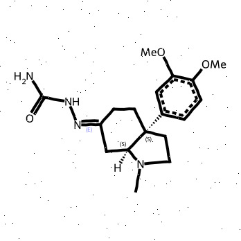 COc1ccc([C@@]23CC/C(=N\NC(N)=O)C[C@@H]2N(C)CC3)cc1OC